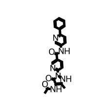 CC(=O)Nc1c(C)[nH]n(-c2ccc(C(=O)Nc3ccc(-c4ccccc4)nc3)cn2)c1=O